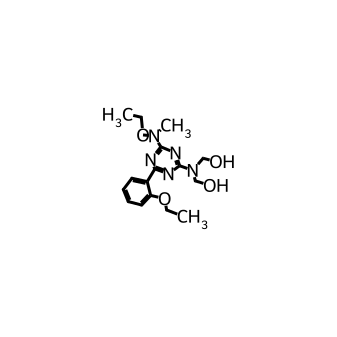 CCOc1ccccc1-c1nc(N(CO)CO)nc(N(C)OCC)n1